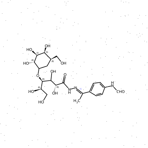 C/C(=N\NC(=O)[C@H](O)C(O)[C@H](OC1C[C@H](CO)[C@H](O)[C@H](O)[C@H]1O)[C@H](O)CO)c1ccc(NC=O)cc1